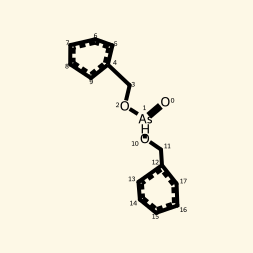 O=[AsH](OCc1ccccc1)OCc1ccccc1